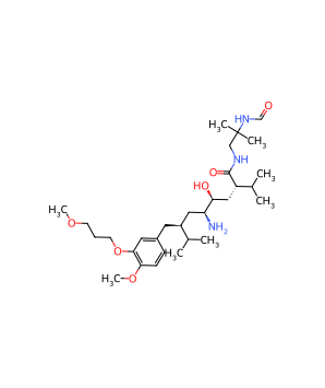 COCCCOc1cc(C[C@@H](C[C@H](N)[C@@H](O)C[C@H](C(=O)NCC(C)(C)NC=O)C(C)C)C(C)C)ccc1OC